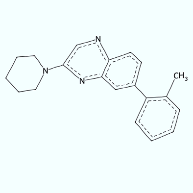 Cc1ccccc1-c1ccc2ncc(N3CCCCC3)nc2c1